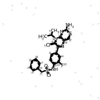 CC(C)n1c(=O)c(-c2ccc(NS(=O)(=O)Cc3ccccc3)c(F)c2)nc2cnc(N)nc21